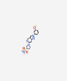 COc1cccc(-n2cc3cnc(N4CCC(S(=O)(=O)N(C)C)C4)cc3n2)c1